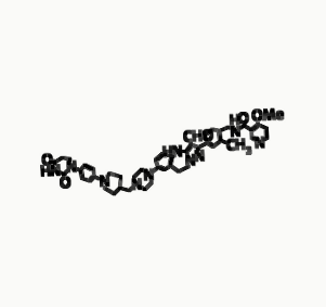 COc1ccncc1C(=O)NCc1ccc(-c2nn3c(c2C=O)Nc2ccc(N4CCN(CC5CCN(c6ccc(N7CCC(=O)NC7=O)cc6)CC5)CC4)cc2CC3)cc1C